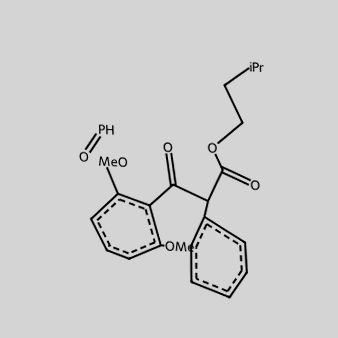 COc1cccc(OC)c1C(=O)C(C(=O)OCCC(C)C)c1ccccc1.O=P